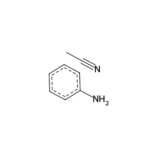 CC#N.Nc1ccccc1